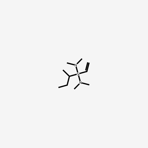 C=C[Si](C(C)CC)(N(C)C)N(C)C